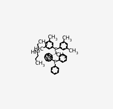 CCCNCCC.Cc1cc(C)cc(P(c2cc(C)cc(C)c2)C(C)[C@]23[CH]4[CH]5[CH]6[C]2(P(c2ccccc2)c2ccccc2)[Fe]56432789[CH]3[CH]2[CH]7[CH]8[CH]39)c1